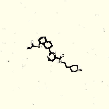 C=CC(=O)Nc1cccc2ccc(-c3nccc(C(=O)NCCC4CCN(C)CC4)n3)cc12